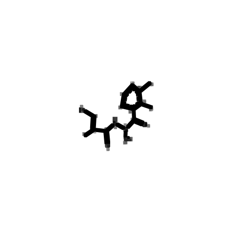 CCC=C(C)C(=O)NN(C(=O)c1cccc(C)c1C)C(C)(C)C